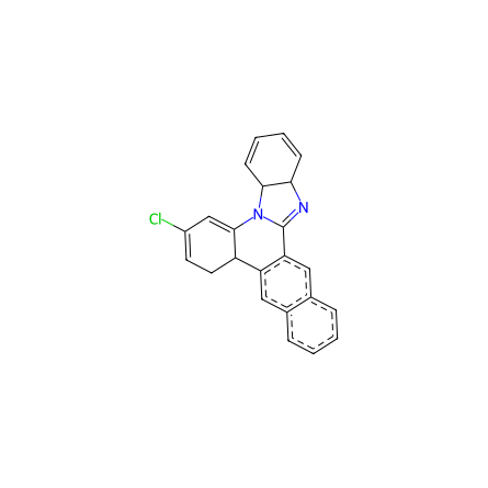 ClC1=CCC2C(=C1)N1C(=NC3C=CC=CC31)c1cc3ccccc3cc12